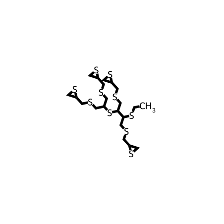 CCSC(CSCC1CS1)C(CSCC1CS1)SC(CSCC1CS1)CSCC1CS1